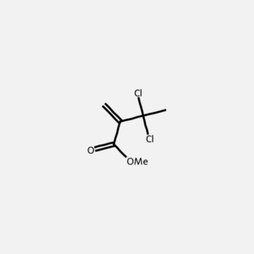 C=C(C(=O)OC)C(C)(Cl)Cl